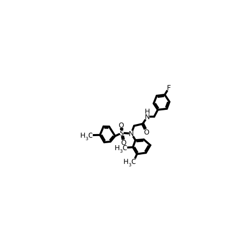 Cc1ccc(S(=O)(=O)N(CC(=O)NCc2ccc(F)cc2)c2cccc(C)c2C)cc1